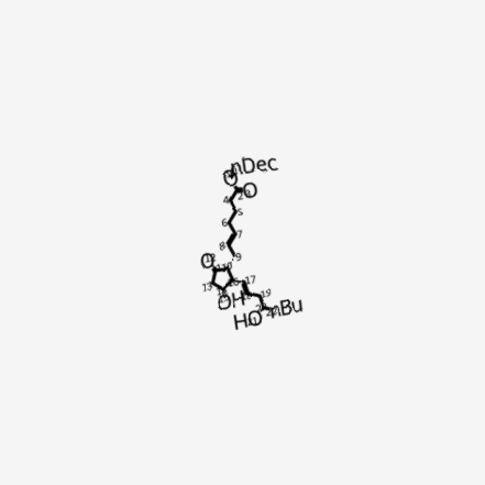 CCCCCCCCCCOC(=O)CCCC=CC[C@H]1C(=O)C[C@@H](O)[C@@H]1/C=C/CC(O)CCCC